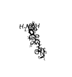 CCN1CCN(CCN2CC[C@H](NC(=O)c3cc(S(=O)(=O)NC)c(N)cc3OC)[C@H](OC)C2)C1=O